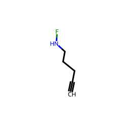 C#CCCCNF